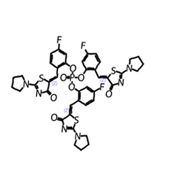 O=C1N=C(N2CCCC2)S/C1=C\c1ccc(F)cc1OP(=O)(Oc1cc(F)ccc1/C=C1\SC(N2CCCC2)=NC1=O)Oc1cc(F)ccc1/C=C1\SC(N2CCCC2)=NC1=O